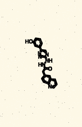 O=C(Cc1ccc2ncccc2c1)NNc1ncc(-c2cccc(O)c2)nn1